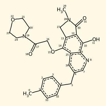 Cc1ccc(Cc2cnc3c(O)c4c(c(OCC(=O)N5CCOCC5)c3c2)CN(C)C4=O)cc1